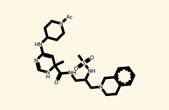 CC(=O)N1CCC(NC2=CC(C)(C(=O)NCC(CN3CCc4ccccc4C3)NS(C)(=O)=O)NC=N2)CC1